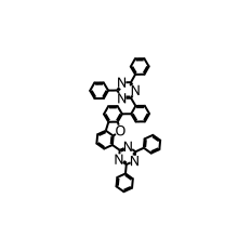 c1ccc(-c2nc(-c3ccccc3)nc(-c3ccccc3-c3cccc4c3oc3c(-c5nc(-c6ccccc6)nc(-c6ccccc6)n5)cccc34)n2)cc1